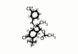 CC(=O)Oc1c(C)n(Cc2cccc(Cl)c2)c2cc(Cl)c(C(F)(F)F)cc12